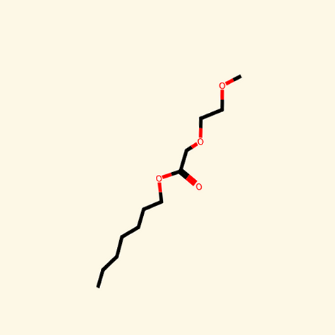 CCCCCCCOC(=O)COCCOC